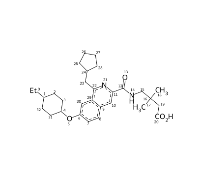 CCC1CCC(Oc2ccc3cc(C(=O)NCC(C)(C)CC(=O)O)nc(CC4CCCC4)c3c2)CC1